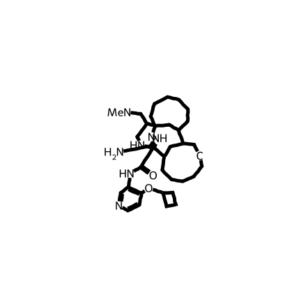 CNCC1CNC23C4CCCCCCCC(C4)C4CCCCCCC1(C4)N2NC(N)C3C(=O)Nc1cnccc1OC1CCC1